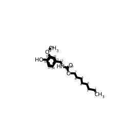 CCCCCCCCOC(=O)NCc1ccc(O)c(OC)c1